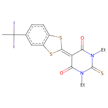 CCN1C(=O)C(=C2Sc3ccc(C(C)(I)I)cc3S2)C(=O)N(CC)C1=S